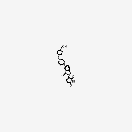 O=C1CCC(N2Cc3ccc(N4CCN(C[C@H]5CC[C@H](CO)CC5)CC4)cc3C2=O)C(=O)N1